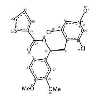 COc1ccc([C@H](Cc2c(Cl)c[n+]([O-])cc2Cl)OC(=O)c2cccs2)cc1OC